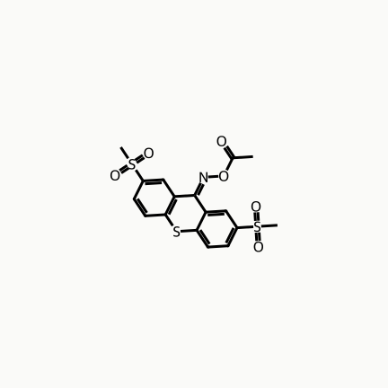 CC(=O)ON=c1c2cc(S(C)(=O)=O)ccc2sc2ccc(S(C)(=O)=O)cc12